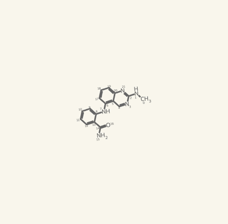 CNc1ncc2c(Nc3ccccc3C(N)=O)cccc2n1